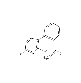 C=C.Fc1ccc(-c2ccccc2)c(F)c1